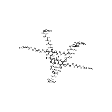 [CH2]c1ccc(-c2nc(Nc3cc(OCCCCCCCCCCCCCCCCCCC)c(OCCCCCCCCCCCCCCCCCCC)c(OCCCCCCCCCCCCCCCCCCC)c3)nc(Nc3cc(OCCCCCCCCCCCCCCCCCCC)c(OCCCCCCCCCCCCCCCCCCC)c(OCCCCCCCCCCCCCCCCCCC)c3)n2)cc1